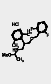 COC(C)NCC(COCc1c(F)cccc1F)c1c(C)cccc1C.Cl